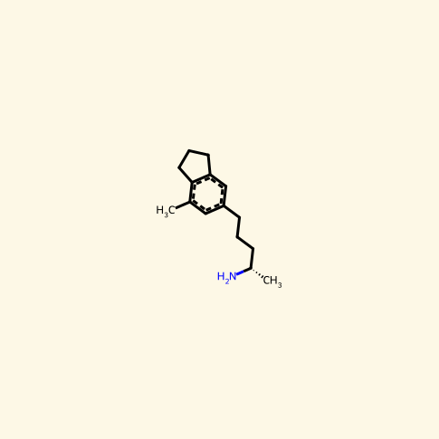 Cc1cc(CCC[C@H](C)N)cc2c1CCC2